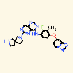 Cc1c(Oc2ccn3ncnc3c2)ccc(Nc2ncnc3cnc(N4CCC5(CCNC5)C4)nc23)c1F